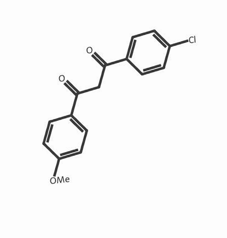 COc1ccc(C(=O)CC(=O)c2ccc(Cl)cc2)cc1